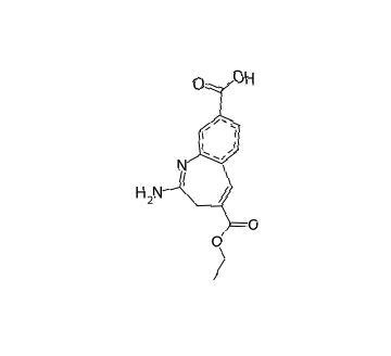 CCOC(=O)C1=Cc2ccc(C(=O)O)cc2N=C(N)C1